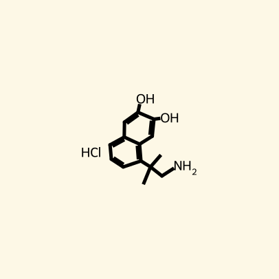 CC(C)(CN)c1cccc2cc(O)c(O)cc12.Cl